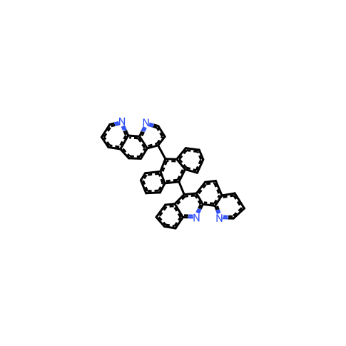 c1cnc2c(c1)ccc1c(-c3c4ccccc4c(-c4c5ccccc5nc5c4ccc4cccnc45)c4ccccc34)ccnc12